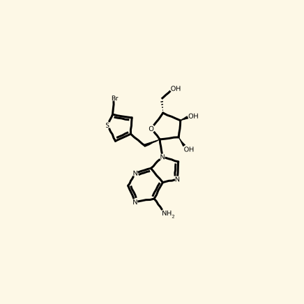 Nc1ncnc2c1ncn2[C@]1(Cc2csc(Br)c2)O[C@H](CO)[C@@H](O)[C@H]1O